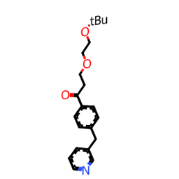 CC(C)(C)OCCOCCC(=O)c1ccc(Cc2cccnc2)cc1